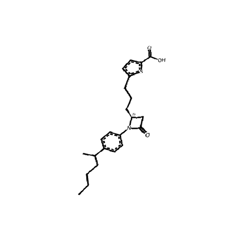 CCCCC(C)c1ccc(N2C(=O)C[C@@H]2CCCc2ccc(C(=O)O)s2)cc1